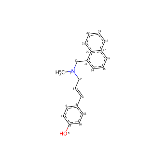 CN(CC=Cc1ccc(O)cc1)Cc1cccc2ccccc12